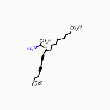 CCC(N)C(=O)O.CCCCCCCCCCCCC#CC#CCCCCCCCCC(=O)O